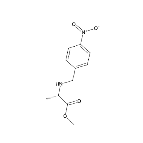 COC(=O)[C@H](C)NCc1ccc([N+](=O)[O-])cc1